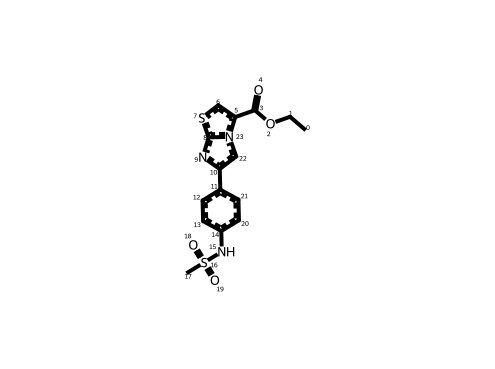 CCOC(=O)c1csc2nc(-c3ccc(NS(C)(=O)=O)cc3)cn12